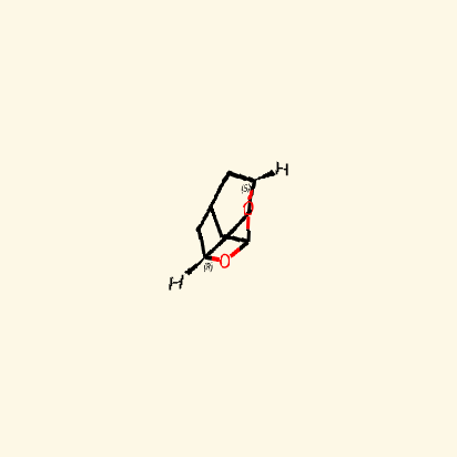 C1C2C[C@@H]3C[C@H](C2)OC1O3